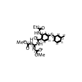 CCC(=O)Nc1cc(Sc2cccc(C)c2)ccc1C(=O)NC(=NC(=O)OC)NC(=O)OC